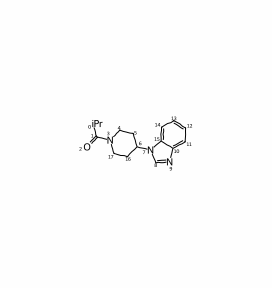 CC(C)C(=O)N1CCC(n2cnc3ccccc32)CC1